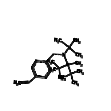 C=Cc1ccc(CN([Si](C)(C)C)[Si](C)(C(C)(C)C)C(C)(C)C)cc1